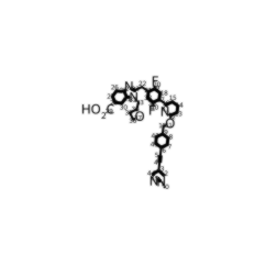 Cn1cc(C#Cc2ccc(COc3cccc(-c4cc(F)c(Cc5nc6ccc(C(=O)O)cc6n5CC5CCO5)cc4F)n3)cc2)cn1